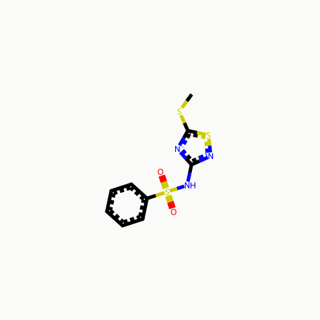 CSc1nc(NS(=O)(=O)c2ccccc2)ns1